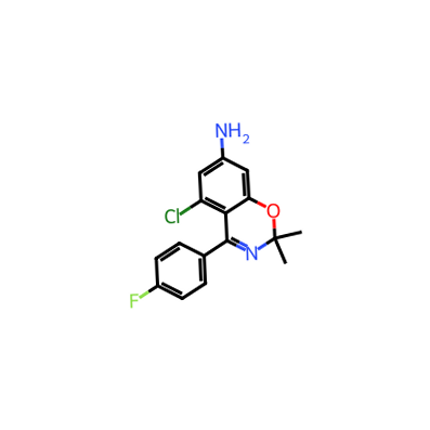 CC1(C)N=C(c2ccc(F)cc2)c2c(Cl)cc(N)cc2O1